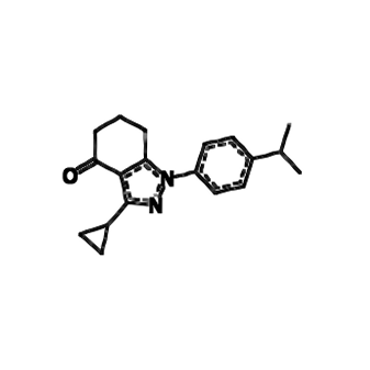 CC(C)c1ccc(-n2nc(C3CC3)c3c2CCCC3=O)cc1